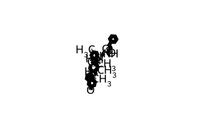 CC1=C2C[C@@]34CC3(CCC3=CC(=O)CC[C@@]34C)[C@@H]2CC[C@@]2(C1)O[C@@H]1C[C@H](C)CN(CCNS(=O)(=O)CCc3ccccc3)[C@H]1[C@H]2C